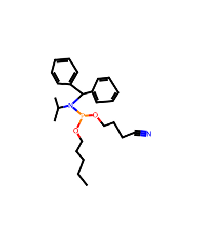 CCCCCOP(OCCCC#N)N(C(C)C)C(c1ccccc1)c1ccccc1